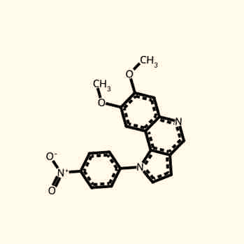 COc1cc2ncc3ccn(-c4ccc([N+](=O)[O-])cc4)c3c2cc1OC